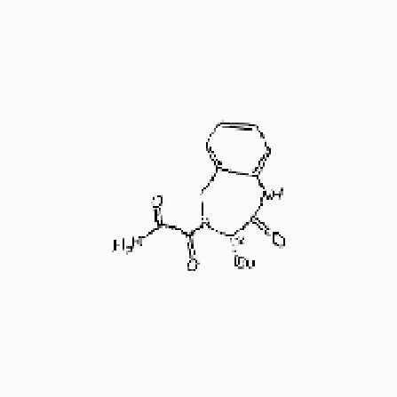 CCC(C)[C@H]1C(=O)Nc2ccccc2CN1C(=O)C(N)=O